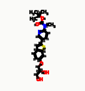 CN(C(=O)OC(C)(C)C)c1ccc(-c2cc3ccc(OC[C@@H](O)CO)cc3s2)cn1